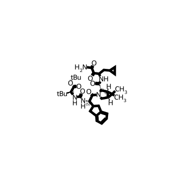 CC(C)(C)OC(=O)[C@@H](NC(=O)N[C@H](C(=O)N1C[C@H]2[C@@H]([C@H]1C(=O)NC(CC1CC1)C(=O)C(N)=O)C2(C)C)C1Cc2ccccc2C1)C(C)(C)C